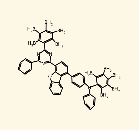 Bc1c(B)c(B)c(-c2nc(-c3ccccc3)nc(-c3ccc(-c4ccc(N(c5ccccc5)c5c(B)c(B)c(B)c(B)c5B)cc4)c4c3oc3ccccc34)n2)c(B)c1B